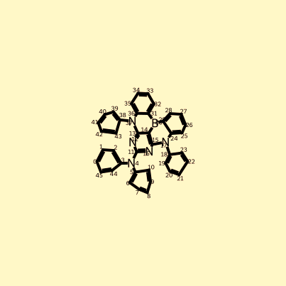 c1ccc(N(c2ccccc2)c2nc3c4c(n2)N(c2ccccc2)c2ccccc2B4c2ccccc2N3c2ccccc2)cc1